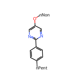 CCCCCCCCCOc1cnc(-c2ccc(CCCCC)cc2)nc1